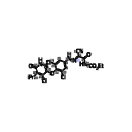 CCOC(=O)NC(=O)/C(C#N)=N/Nc1cc(Cl)c(Oc2n[nH]c(=O)c(C(C)C)c2Cl)c(Cl)c1